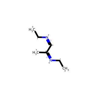 CC/N=C\C(C)=N/CC